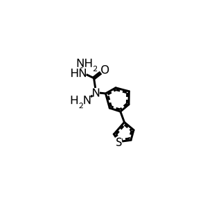 NNC(=O)N(N)c1cccc(-c2ccsc2)c1